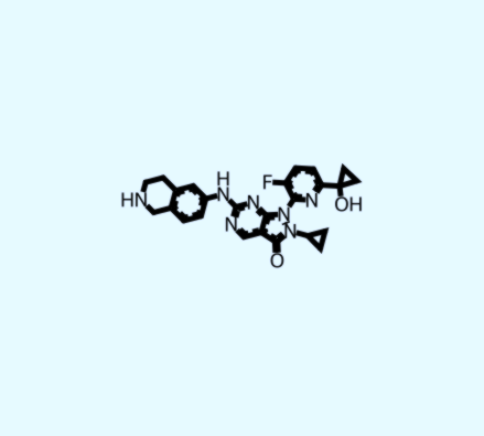 O=c1c2cnc(Nc3ccc4c(c3)CCNC4)nc2n(-c2nc(C3(O)CC3)ccc2F)n1C1CC1